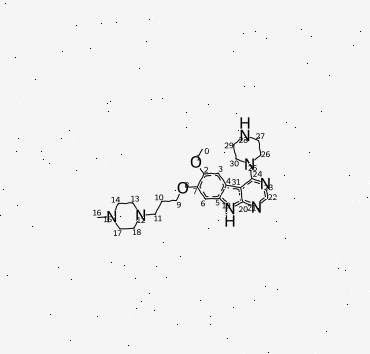 COc1cc2c(cc1OCCCN1CCN(C)CC1)[nH]c1ncnc(N3CCNCC3)c12